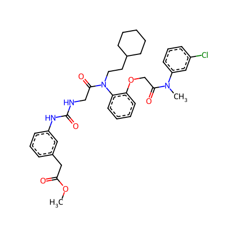 COC(=O)Cc1cccc(NC(=O)NCC(=O)N(CCC2CCCCC2)c2ccccc2OCC(=O)N(C)c2cccc(Cl)c2)c1